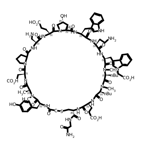 CCCC[C@H]1C(=O)N(C)[C@@H](CCCC)C(=O)N[C@@H](CCC(=O)O)C(=O)N[C@H](C(=O)NCC(N)=O)CSCC(=O)N[C@@H](Cc2ccc(O)cc2)C(=O)N(C)[C@@H](C)C(=O)N[C@@H](CC(=O)O)C(=O)N2CCCC2C(=O)N[C@@H](CN)C(=O)N[C@@H](CCC(=O)O)C(=O)N2C[C@H](O)C[C@H]2C(=O)N[C@@H](Cc2c[nH]c3ccccc23)C(=O)N[C@@H](CCN)C(=O)N[C@@H](Cc2cn(CC(=O)O)c3ccccc23)C(=O)N1C